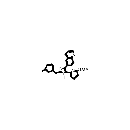 COc1cccc(-c2[nH]c(Cc3cccc(C)c3)nc2-c2ccc3ncccc3c2)n1